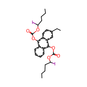 CCCCC(I)OC(=O)Oc1c2ccccc2c(OC(=O)OC(I)CCCC)c2cc(CC)ccc12